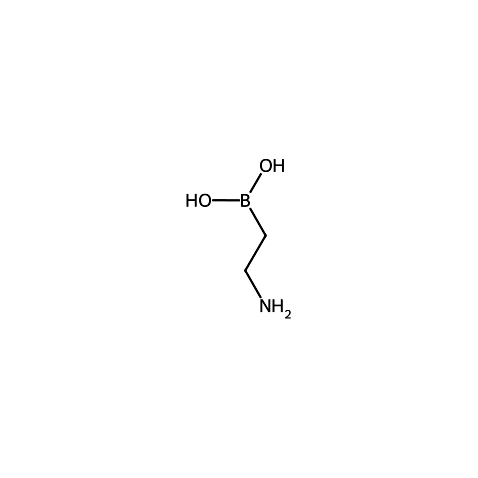 NCCB(O)O